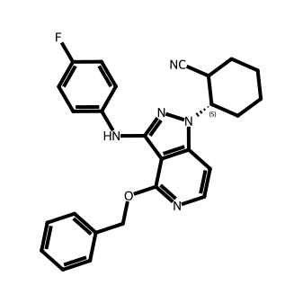 N#CC1CCCC[C@@H]1n1nc(Nc2ccc(F)cc2)c2c(OCc3ccccc3)nccc21